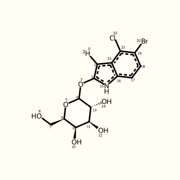 [2H]c1c(OC2O[C@H](CO)[C@H](O)[C@H](O)[C@H]2O)[nH]c2ccc(Br)c(Cl)c12